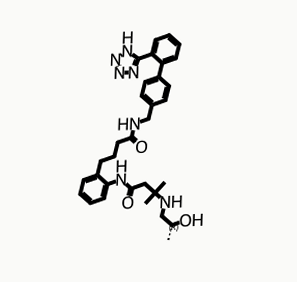 C[C@@H](O)CNC(C)(C)CC(=O)Nc1ccccc1CCCC(=O)NCc1ccc(-c2ccccc2-c2nnn[nH]2)cc1